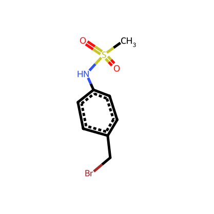 CS(=O)(=O)Nc1ccc(CBr)cc1